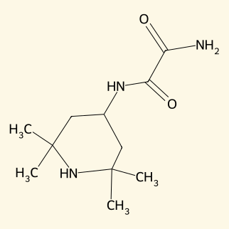 CC1(C)CC(NC(=O)C(N)=O)CC(C)(C)N1